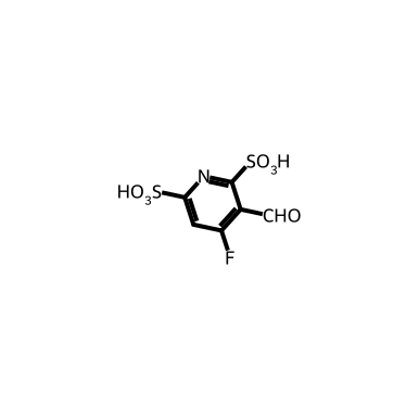 O=Cc1c(F)cc(S(=O)(=O)O)nc1S(=O)(=O)O